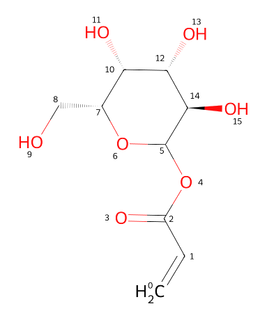 C=CC(=O)OC1O[C@H](CO)[C@H](O)[C@H](O)[C@H]1O